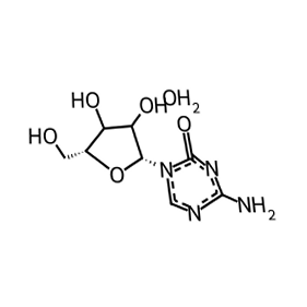 Nc1ncn([C@@H]2O[C@H](CO)C(O)C2O)c(=O)n1.O